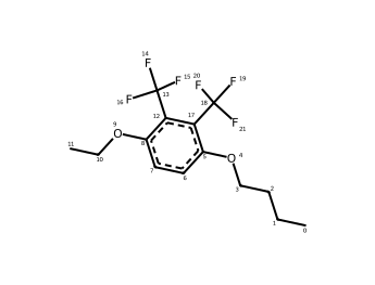 CCCCOc1ccc(OCC)c(C(F)(F)F)c1C(F)(F)F